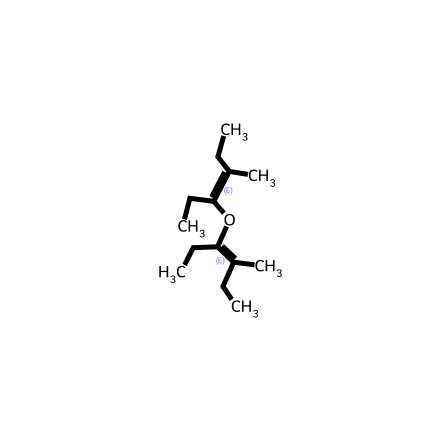 CC/C(C)=C(\CC)O/C(CC)=C(\C)CC